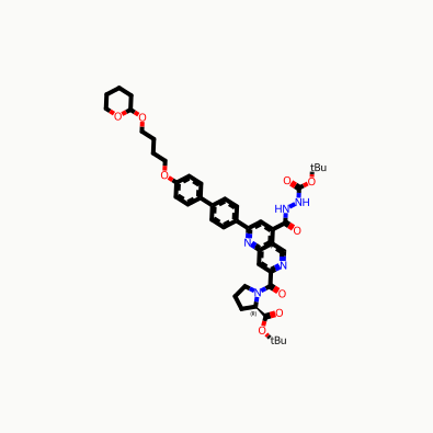 CC(C)(C)OC(=O)NNC(=O)c1cc(-c2ccc(-c3ccc(OCCCCOC4CCCCO4)cc3)cc2)nc2cc(C(=O)N3CCC[C@@H]3C(=O)OC(C)(C)C)ncc12